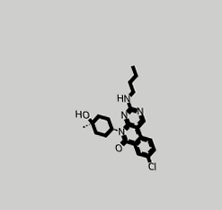 CCCCNc1ncc2c3ccc(Cl)cc3c(=O)n([C@H]3CC[C@](C)(O)CC3)c2n1